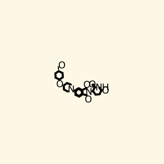 O=C[C@H]1CC[C@H](OC2CCN(c3ccc4c(c3)C(=O)N(C3CCC(=O)NC3=O)C4=O)CC2)CC1